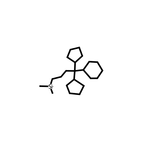 C[Si](C)CCCC(C1CCCCC1)(C1CCCC1)C1CCCC1